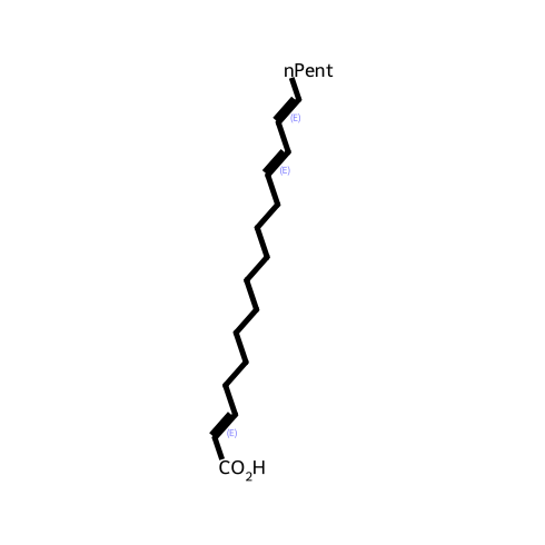 CCCCC/C=C/C=C/CCCCCCCC/C=C/C(=O)O